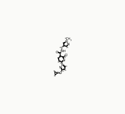 Cn1cc(SNC(=O)c2ccc(-n3ccc(OC4CC4)n3)nc2Cl)cn1